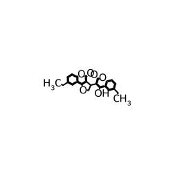 CCc1ccc2oc(=O)c(C3COc4c3c(=O)oc3ccc(CC)cc43)c(O)c2c1